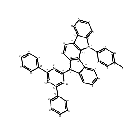 Cc1ccc(-n2c3ccccc3c3ccc4c(c5ccccc5n4-c4nc(-c5ccccc5)nc(-c5ccccc5)n4)c32)cc1